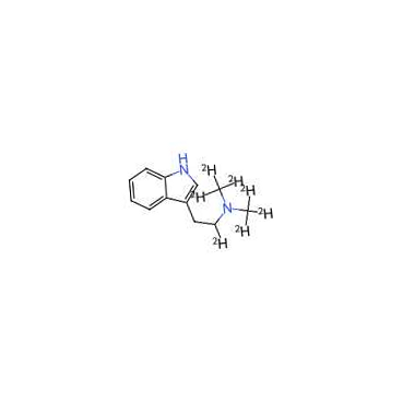 [2H]C(Cc1c[nH]c2ccccc12)N(C([2H])([2H])[2H])C([2H])([2H])[2H]